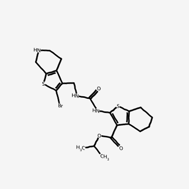 CC(C)OC(=O)c1c(NC(=O)NCc2c(Br)sc3c2CCNC3)sc2c1CCCC2